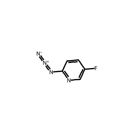 [N-]=[N+]=Nc1ccc(F)cn1